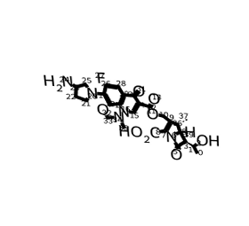 CC(O)[C@H]1C(=O)N2C(C(=O)O)=C(COC(=O)c3cn4c5c(c(N6CCC(N)C6)c(F)cc5c3=O)OCN4C)[C@H](C)[C@H]12